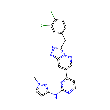 Cn1ccc(Nc2nccc(-c3cnn4c(Cc5ccc(F)c(Cl)c5)nnc4c3)n2)n1